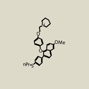 CCCSc1ccc(-c2ccc3cc(OC)ccc3c2Oc2ccc(OCCN3CCCCC3)cc2)cc1